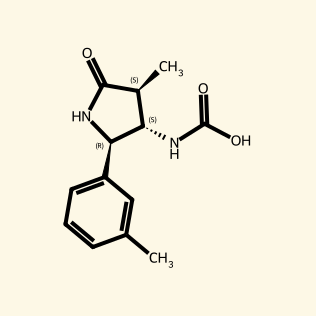 Cc1cccc([C@H]2NC(=O)[C@@H](C)[C@@H]2NC(=O)O)c1